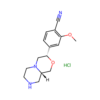 COc1cc([C@H]2CN3CCNC[C@H]3CO2)ccc1C#N.Cl